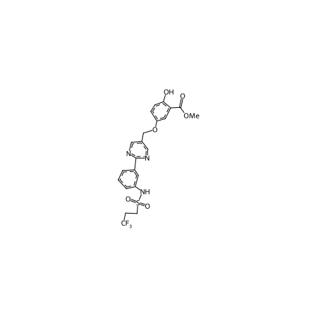 COC(=O)c1cc(OCc2cnc(-c3cccc(NS(=O)(=O)CCC(F)(F)F)c3)nc2)ccc1O